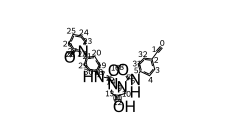 C#Cc1ccc(NC(=O)N2C[C@@H](O)CN2C(=O)Nc2ccc(-n3ccccc3=O)cc2)cc1